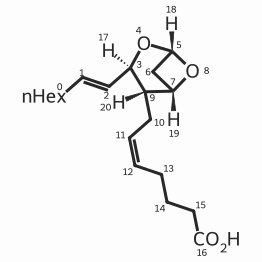 CCCCCC/C=C/[C@H]1O[C@H]2C[C@H](O2)[C@@H]1C/C=C\CCCC(=O)O